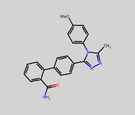 COc1ccc(-n2c(C)nnc2-c2ccc(-c3ccccc3C(N)=O)cc2)cc1